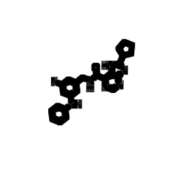 O=C(NCc1cc(F)cc(Nc2ccccc2)c1)c1ncnc2nc(C3CCCC3)[nH]c12